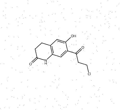 O=C1CCc2cc(O)c(C(=O)CCCl)cc2N1